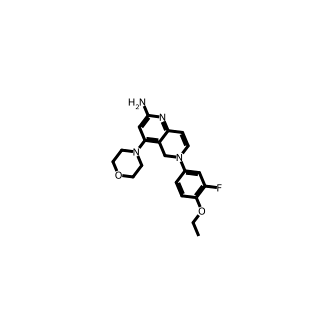 CCOc1ccc(N2C=Cc3nc(N)cc(N4CCOCC4)c3C2)cc1F